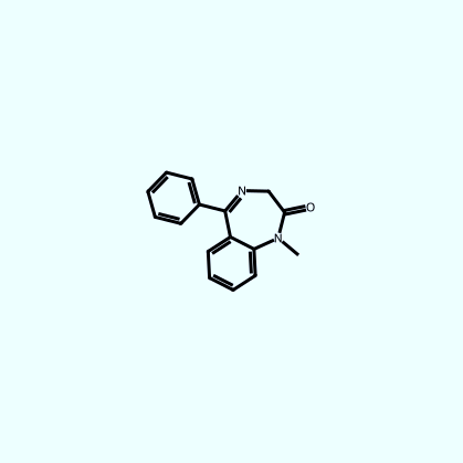 CN1C(=O)CN=C(c2ccccc2)c2ccccc21